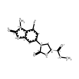 COC(=O)[C@H]1CN(c2cc(F)c3c(c2)oc(=O)n3C)C(=O)O1